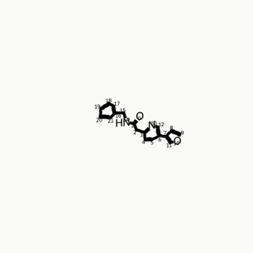 O=C(Cc1ccc(-c2ccoc2)cn1)NCc1ccccc1